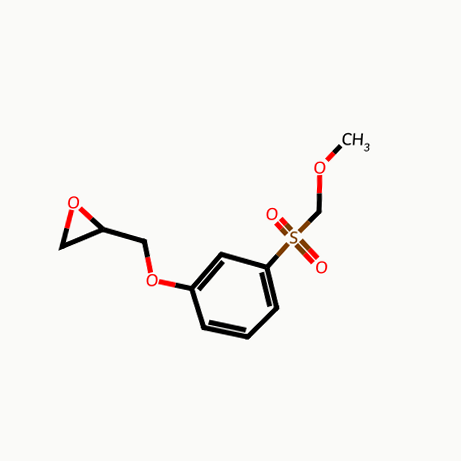 COCS(=O)(=O)c1cccc(OCC2CO2)c1